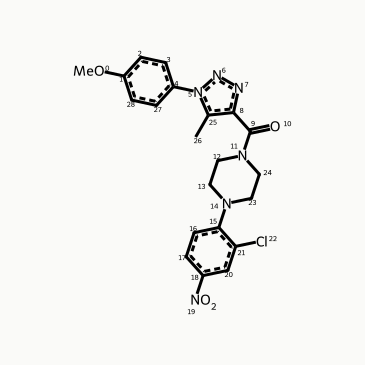 COc1ccc(-n2nnc(C(=O)N3CCN(c4ccc([N+](=O)[O-])cc4Cl)CC3)c2C)cc1